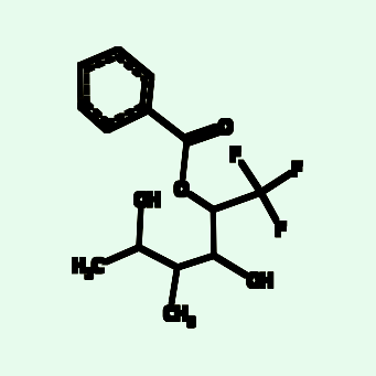 CC(O)C(C)C(O)C(OC(=O)c1ccccc1)C(F)(F)F